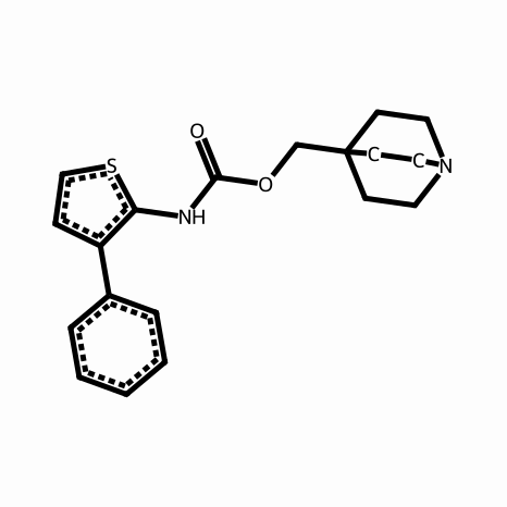 O=C(Nc1sccc1-c1ccccc1)OCC12CCN(CC1)CC2